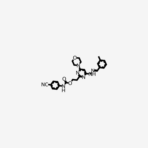 Cc1cccc(C=NNc2cc(N3CCOCC3)nc(CCOC(=O)Nc3ccc(C#N)cc3)n2)c1